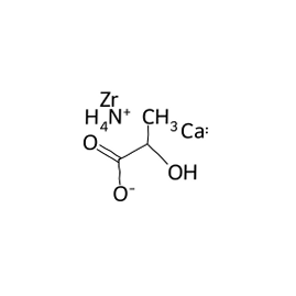 CC(O)C(=O)[O-].[Ca].[NH4+].[Zr]